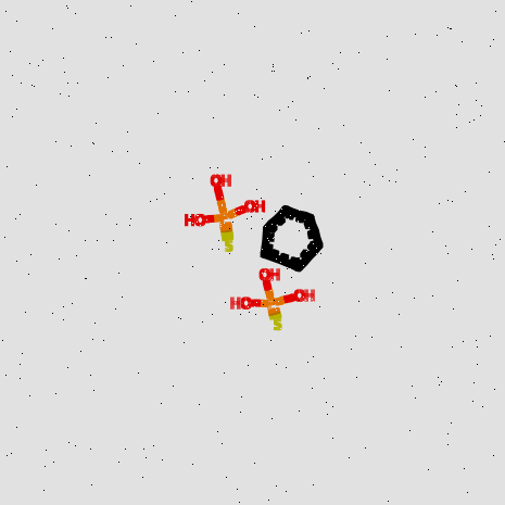 OP(O)(O)=S.OP(O)(O)=S.c1ccccc1